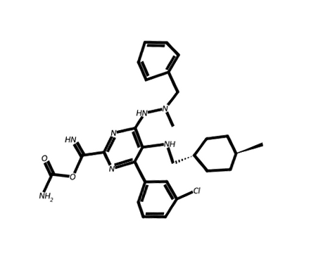 CN(Cc1ccccc1)Nc1nc(C(=N)OC(N)=O)nc(-c2cccc(Cl)c2)c1NC[C@H]1CC[C@H](C)CC1